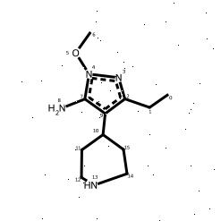 CCc1nn(OC)c(N)c1C1CCNCC1